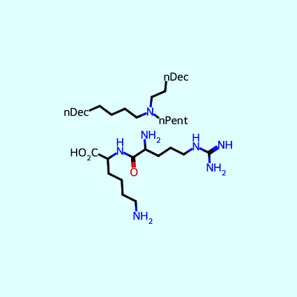 CCCCCCCCCCCCCCN(CCCCC)CCCCCCCCCCCC.N=C(N)NCCCC(N)C(=O)NC(CCCCN)C(=O)O